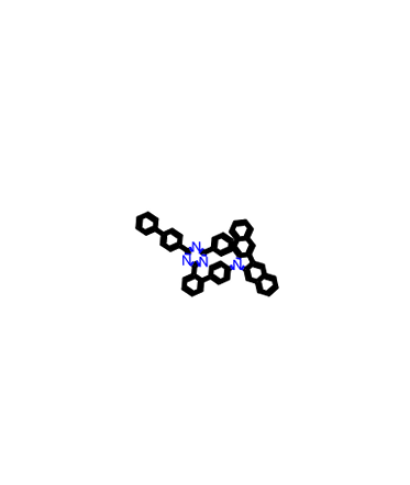 c1ccc(-c2ccc(-c3nc(-c4ccccc4)nc(-c4ccccc4-c4ccc(-n5c6cc7ccccc7cc6c6cc7ccccc7cc65)cc4)n3)cc2)cc1